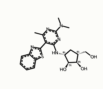 Cc1nc(N(C)C)nc(N[C@@H]2C[C@H](CO)[C@@H](O)[C@H]2O)c1-c1nc2ccccc2s1